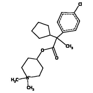 CC(C(=O)OC1CC[N+](C)(C)CC1)(c1ccc(Cl)cc1)C1CCCC1